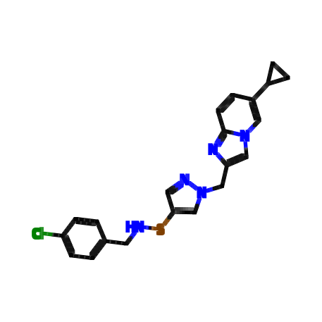 Clc1ccc(CNSc2cnn(Cc3cn4cc(C5CC5)ccc4n3)c2)cc1